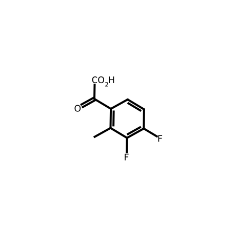 Cc1c(C(=O)C(=O)O)ccc(F)c1F